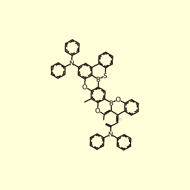 C=C(/C=C1\C2=C(C)Oc3c(cc4c(c3C)Oc3cc(N(c5ccccc5)c5ccccc5)cc5c3B4Sc3ccccc3-5)B2Oc2ccccc21)N(c1ccccc1)c1ccccc1